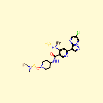 CC(C)Nc1cc(-c2cnn3cc(Cl)cnc23)ncc1C(=O)NC1CCN(OSN(C)C(C)C)CC1.S